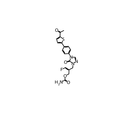 CC(=O)c1ccc(-c2ccc(-n3cnn(CC(=CF)COC(N)=O)c3=O)cc2)s1